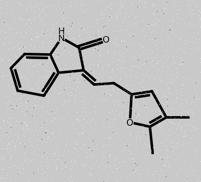 Cc1cc(CC=C2C(=O)Nc3ccccc32)oc1C